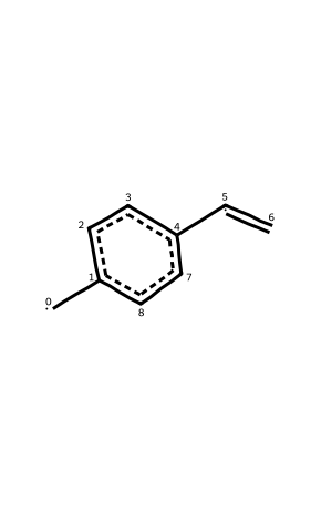 [CH2]c1ccc([C]=C)cc1